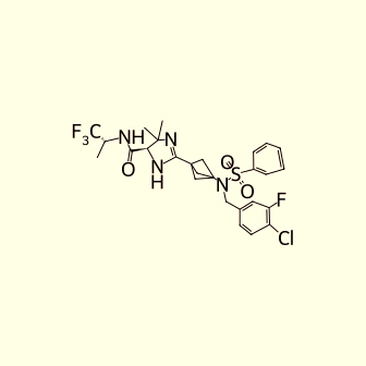 C[C@@H](NC(=O)[C@@H]1NC(C23CC(N(Cc4ccc(Cl)c(F)c4)S(=O)(=O)c4ccccc4)(C2)C3)=NC1(C)C)C(F)(F)F